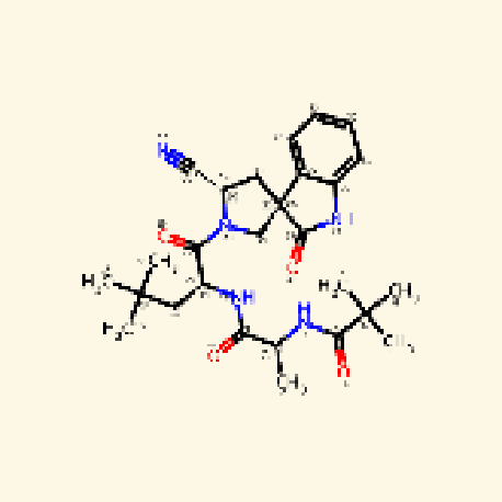 C[C@H](NC(=O)C(C)(C)C)C(=O)N[C@@H](CC(C)(C)C)C(=O)N1C[C@]2(C[C@H]1C#N)C(=O)Nc1ccccc12